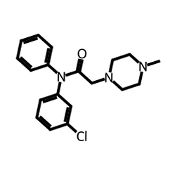 CN1CCN(CC(=O)N(c2ccccc2)c2cccc(Cl)c2)CC1